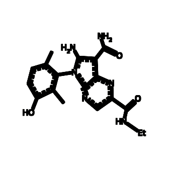 CCNC(=O)c1cnc2c(n1)c(C(N)=O)c(N)n2-c1c(C)ccc(O)c1C